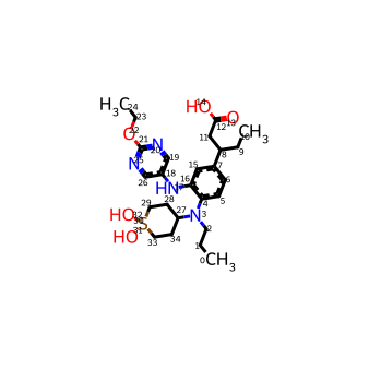 CCCN(c1ccc(C(CC)CC(=O)O)cc1Nc1cnc(OCC)nc1)C1CCS(O)(O)CC1